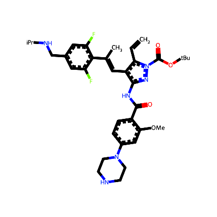 C=Cc1c(/C=C(\C)c2c(F)cc(CNC(C)C)cc2F)c(NC(=O)c2ccc(N3CCNCC3)cc2OC)nn1C(=O)OC(C)(C)C